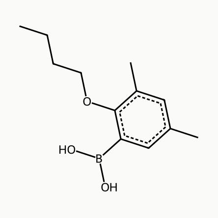 CCCCOc1c(C)cc(C)cc1B(O)O